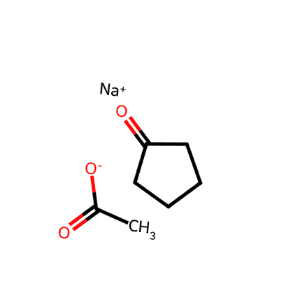 CC(=O)[O-].O=C1CCCC1.[Na+]